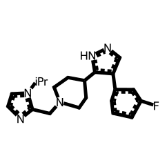 CC(C)n1ccnc1CN1CCC(c2[nH]ncc2-c2cccc(F)c2)CC1